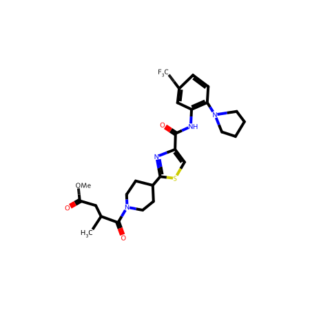 COC(=O)CC(C)C(=O)N1CCC(c2nc(C(=O)Nc3cc(C(F)(F)F)ccc3N3CCCC3)cs2)CC1